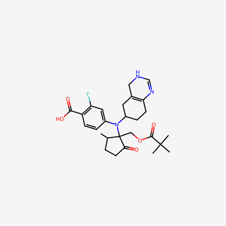 CC1CCC(=O)C1(COC(=O)C(C)(C)C)N(c1ccc(C(=O)O)c(F)c1)C1CCC2=C(CNC=N2)C1